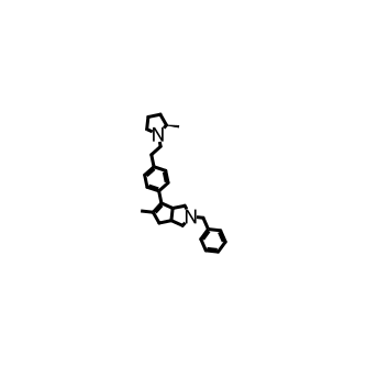 CC1=C(c2ccc(CCN3CCC[C@H]3C)cc2)C2CN(Cc3ccccc3)CC2C1